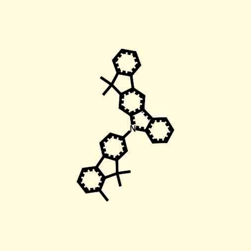 Cc1cccc2c1C(C)(C)c1cc(-n3c4ccccc4c4cc5c(cc43)C(C)(C)c3ccccc3-5)ccc1-2